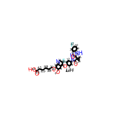 COc1cc2c(Oc3ccc(NC(=O)C4(C(=O)Nc5ccc(F)cc5)CC4)cc3F)ccnc2cc1OCCCCCC(=O)O.[LiH]